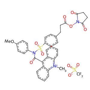 COc1ccc(N(C(=O)c2c3ccccc3[n+](C)c3ccccc23)S(=O)(=O)c2ccc(CCC(=O)ON3C(=O)CCC3=O)cc2)cc1.O=S(=O)([O-])C(F)(F)F